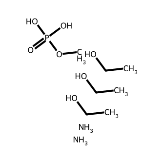 CCO.CCO.CCO.COP(=O)(O)O.N.N